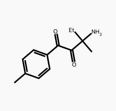 CCC(C)(N)C(=O)C(=O)c1ccc(C)cc1